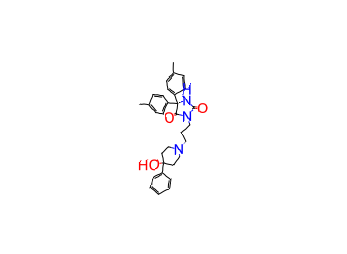 Cc1ccc(C2(c3ccc(C)cc3)NC(=O)N(CCCN3CCC(O)(c4ccccc4)CC3)C2=O)cc1